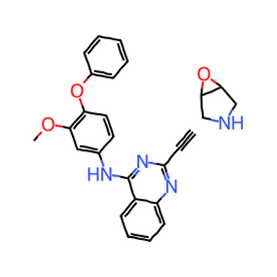 C#Cc1nc(Nc2ccc(Oc3ccccc3)c(OC)c2)c2ccccc2n1.C1NCC2OC12